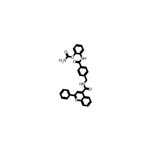 NC(=O)Oc1ccccc1NC(=O)c1ccc(CNC(=O)c2cc(-c3ccccc3)nc3ccccc23)cc1